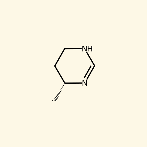 [CH2][C@@H]1CCNC=N1